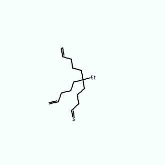 C=CCCCC(CC)(CCCC=C)CCCC=S